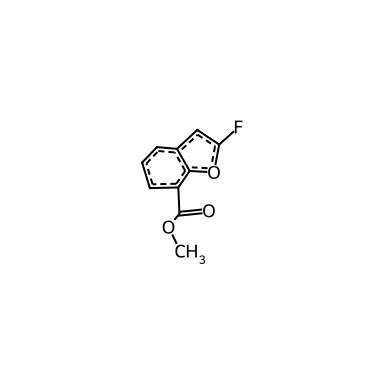 COC(=O)c1cccc2cc(F)oc12